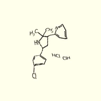 CC1(C)NC(c2ccc(Cl)cc2)CC1c1ccccn1.Cl.Cl